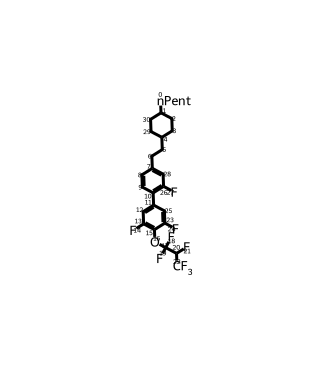 CCCCCC1CCC(CCc2ccc(-c3cc(F)c(OC(F)(F)C(F)C(F)(F)F)c(F)c3)c(F)c2)CC1